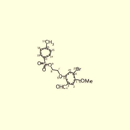 COc1cc(C=O)c(OCCOS(=O)(=O)c2ccc(C)cc2)cc1Br